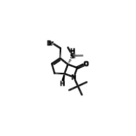 C[SiH](C)[C@]12C(=O)N(C(C)(C)C)[C@@H]1CC=C2CBr